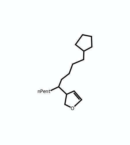 CCCCCC(CCCCC1CCCC1)C1C=COC1